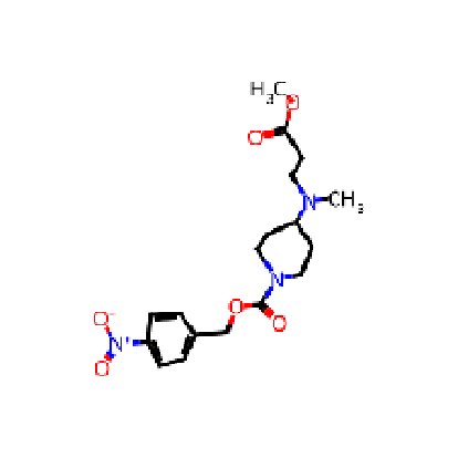 COC(=O)CCN(C)C1CCN(C(=O)OCc2ccc([N+](=O)[O-])cc2)CC1